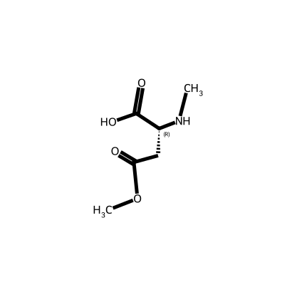 CN[C@H](CC(=O)OC)C(=O)O